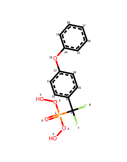 O=P(OO)(OO)C(F)(F)c1ccc(Oc2c[c]ccc2)cc1